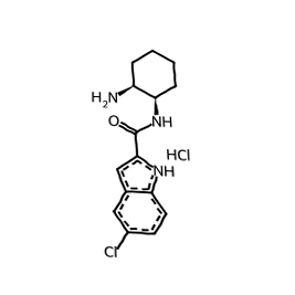 Cl.N[C@H]1CCCC[C@H]1NC(=O)c1cc2cc(Cl)ccc2[nH]1